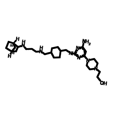 Nc1cc(N2CCN(CCO)CC2)nc(NCC2CCC(CNCCCNC3C[C@@H]4CC[C@H]3C4)CC2)n1